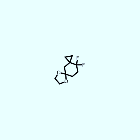 FC1(F)CCC2(CC13CC3)OCCO2